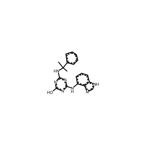 CC(C)(Nc1nc(O)nc(Nc2cccc3[nH]cnc23)n1)c1ccccc1